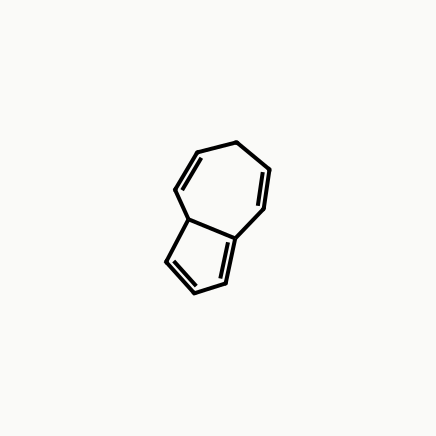 C1=CC2C=CCC=CC2=C1